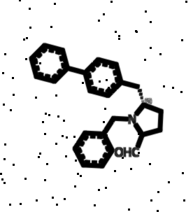 O=CC1CC[C@@H](Cc2ccc(-c3ccccc3)cc2)N1Cc1ccccc1